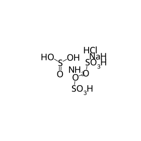 Cl.N.O=S(=O)(O)OOS(=O)(=O)O.O=S(O)O.[NaH]